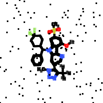 [2H]C([2H])([2H])c1nnn(C)c1-c1cnc2c3c(OCC)cc(S(C)(=O)=O)cc3n(C(c3ccccc3)C3CCC(F)(F)CC3)c2c1